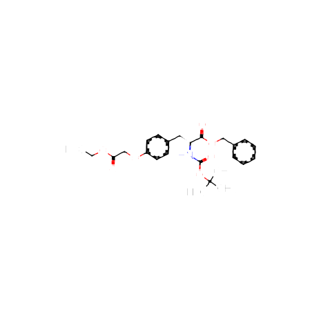 CCOC(=O)COc1ccc(C[C@H](NC(=O)OC(C)(C)C)C(=O)OCc2ccccc2)cc1